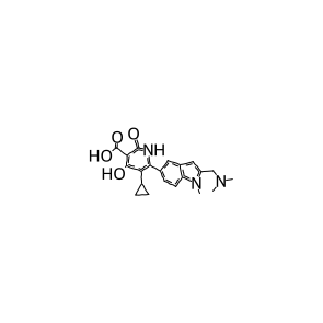 CN(C)Cc1cc2cc(-c3[nH]c(=O)c(C(=O)O)c(O)c3C3CC3)ccc2n1C